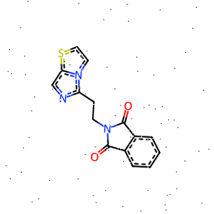 O=C1c2ccccc2C(=O)N1CCc1ncc2sccn12